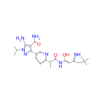 CC(C(=O)N/C(O)=C/C(=N)CC(C)(C)C)c1ccc(-c2nn(C(C)C)c(N)c2C(N)=O)cn1